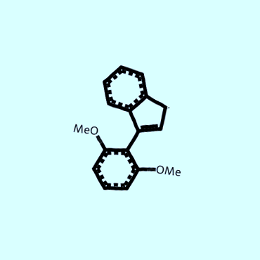 COc1cccc(OC)c1C1=C[CH]c2ccccc21